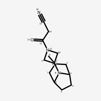 CN1CC2CCC(C1)N2C1CN(C(=O)CC#N)C1